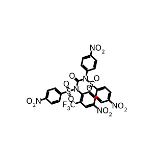 O=C(N(c1ccc([N+](=O)[O-])cc1)S(=O)(=O)c1ccc([N+](=O)[O-])cc1)N(c1ccc([N+](=O)[O-])cc1C(F)(F)F)S(=O)(=O)c1ccc([N+](=O)[O-])cc1